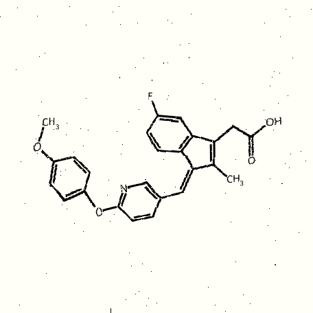 COc1ccc(Oc2ccc(/C=C3/C(C)=C(CC(=O)O)c4cc(F)ccc43)cn2)cc1